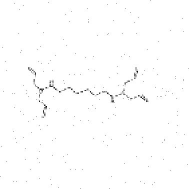 C=CCN(CC=C)NCCCCCCNN(CC=C)CC=C